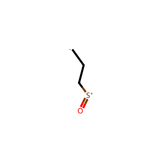 [CH2]CC[S+]=O